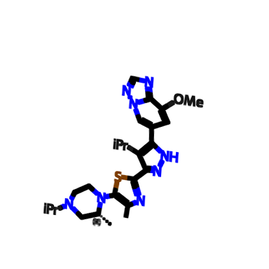 COc1cc(-c2[nH]nc(-c3nc(C)c(N4CCN(C(C)C)C[C@H]4C)s3)c2C(C)C)cn2ncnc12